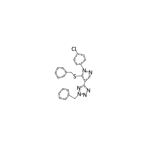 Clc1ccc(-n2ncc(-c3nnn(Cc4ccccc4)n3)c2SCc2ccccc2)cc1